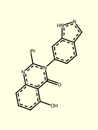 CC(C)c1nc2cccc(O)c2c(=O)n1-c1ccc2cn[nH]c2c1